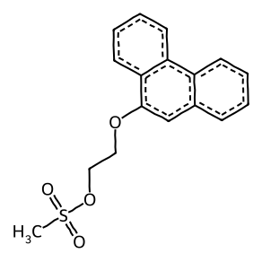 CS(=O)(=O)OCCOc1cc2ccccc2c2ccccc12